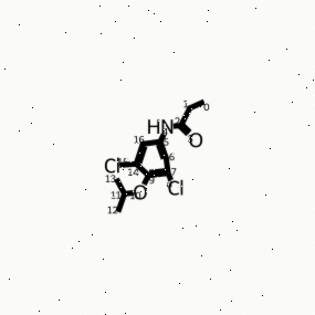 CCC(=O)Nc1cc(Cl)c(OC(C)C)c(Cl)c1